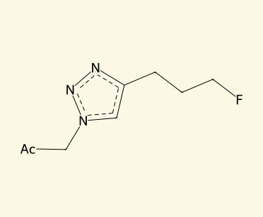 CC(=O)Cn1cc(CCCF)nn1